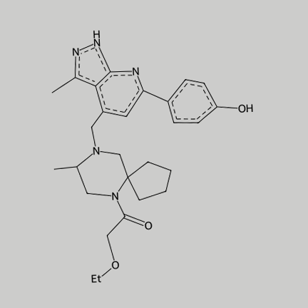 CCOCC(=O)N1CC(C)N(Cc2cc(-c3ccc(O)cc3)nc3[nH]nc(C)c23)CC12CCCC2